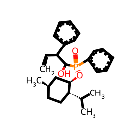 C=CC(c1ccccc1)C(O)[P@@](=O)(O[C@@H]1C[C@H](C)CC[C@H]1C(C)C)c1ccccc1